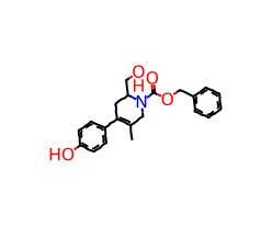 CC1=C(c2ccc(O)cc2)CC(CO)N(C(=O)OCc2ccccc2)C1